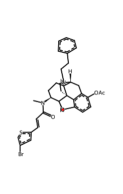 CC(=O)Oc1ccc2c3c1C[C@@H]1[C@@H]4CC[C@H](N(C)C(=O)/C=C/c5cc(Br)cs5)[C@H](O2)[C@]34CCN1CCc1ccccc1